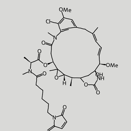 C=C1C=CC(=O)N1CCCCCC(=O)N(C)[C@@H](C)C(=O)O[C@H]1CC(=O)N(C)c2cc(cc(OC)c2Cl)C/C(C)=C/C=C/[C@@H](OC)[C@@]2(O)CC(OC(=O)N2)[C@@H](C)[C@@H]2OC12C